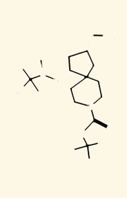 CO[C@H]1C[C@@H](N[S@+]([O-])C(C)(C)C)C2(CCN(C(=O)OC(C)(C)C)CC2)C1